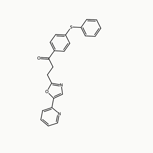 O=C(CCc1ncc(-c2ccccn2)o1)c1ccc(Sc2ccccc2)cc1